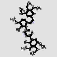 COc1ccc(/C=C\c2cc(OC)c(OC)c(OC)c2)c(N/C=C\C(=O)c2cc(OC)c(OC)c(OC)c2Br)c1O